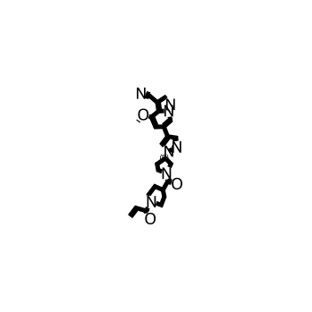 C=CC(=O)N1CCC(C(=O)N2CC[C@@H](n3cc(-c4cc(OC)c5c(C#N)cnn5c4)cn3)C2)CC1